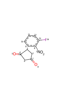 O=C1CCC(=O)C1.O=[N+]([O-])c1ccccc1I